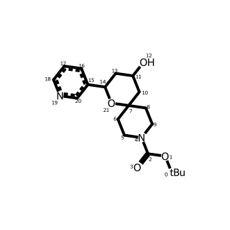 CC(C)(C)OC(=O)N1CCC2(CC1)CC(O)CC(c1cccnc1)O2